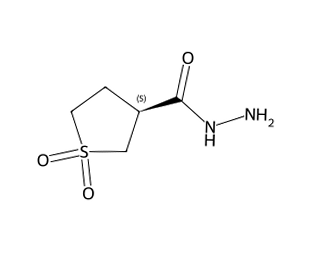 NNC(=O)[C@@H]1CCS(=O)(=O)C1